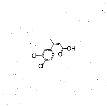 C/C(=C/C(=O)O)c1ccc(Cl)c(Cl)c1